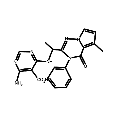 Cc1ccn2nc(C(C)Nc3ncnc(N)c3C(=O)O)n(-c3ccccc3)c(=O)c12